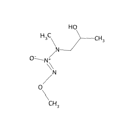 CON=[N+]([O-])N(C)CC(C)O